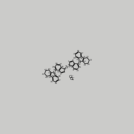 C1=C[CH]([Zr+2][CH]2C=Cc3c2cccc3-n2c3c(c4ccccc42)CCCC3)c2cccc(-n3c4c(c5ccccc53)CCCC4)c21.[Cl-].[Cl-]